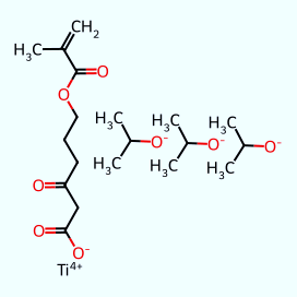 C=C(C)C(=O)OCCCC(=O)CC(=O)[O-].CC(C)[O-].CC(C)[O-].CC(C)[O-].[Ti+4]